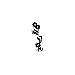 O=[N+]([O-])c1cccc(CN2CCN(CCS(=O)(=O)Nc3cccc4ccccc34)CC2)c1